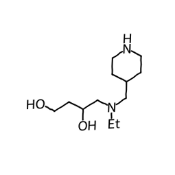 CCN(CC(O)CCO)CC1CCNCC1